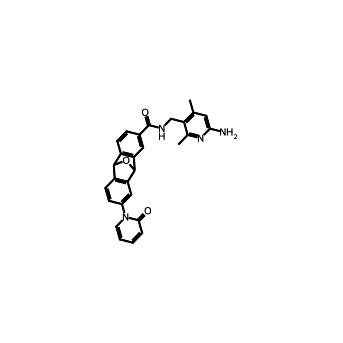 Cc1cc(N)nc(C)c1CNC(=O)c1ccc2c(c1)C1OC2c2ccc(-n3ccccc3=O)cc21